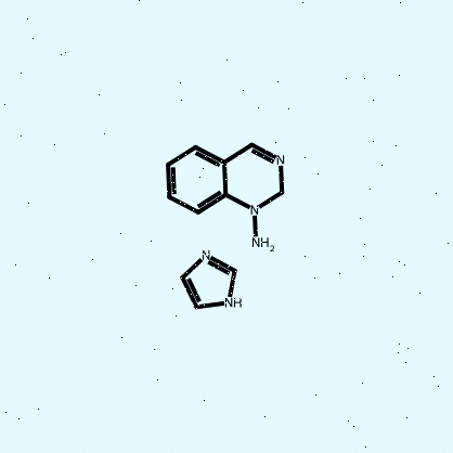 NN1CN=Cc2ccccc21.c1c[nH]cn1